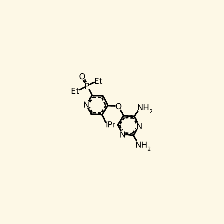 CCP(=O)(CC)c1cc(Oc2cnc(N)nc2N)c(C(C)C)cn1